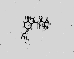 CCOC1CCC2NC=C(NC(=O)C3(C(F)(F)F)CC3)C2C1